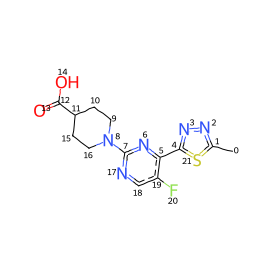 Cc1nnc(-c2nc(N3CCC(C(=O)O)CC3)ncc2F)s1